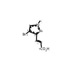 Cn1cc(Br)c(/C=C/C(=O)O)n1